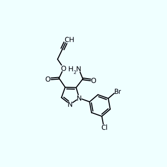 C#CCOC(=O)c1cnn(-c2cc(Cl)cc(Br)c2)c1C(N)=O